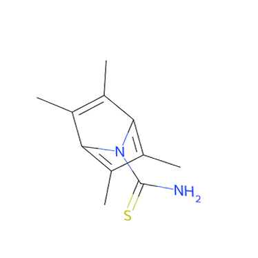 Cc1c(C)c2c(C)c(C)c1n2C(N)=S